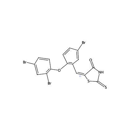 O=C1NC(=S)S/C1=C/c1cc(Br)ccc1Oc1ccc(Br)cc1Br